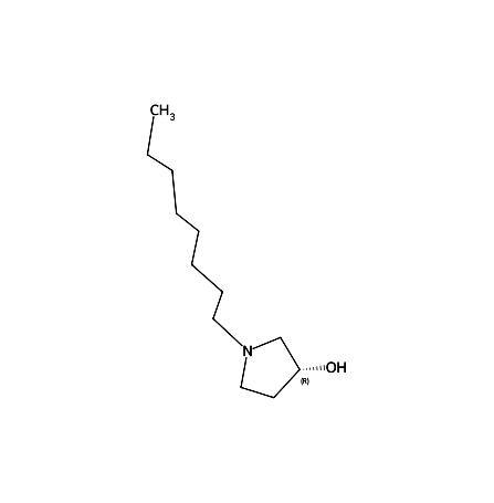 CCCCCCCCN1CC[C@@H](O)C1